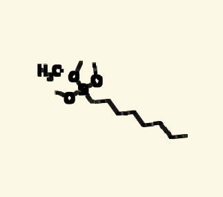 CCCCCCCC[Si](OC)(OC)OC.[CH3]